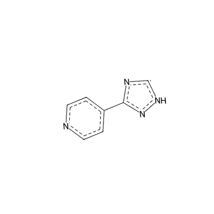 [c]1nc(-c2ccncc2)n[nH]1